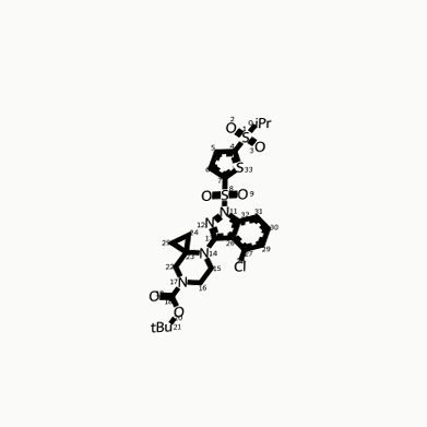 CC(C)S(=O)(=O)c1ccc(S(=O)(=O)n2nc(N3CCN(C(=O)OC(C)(C)C)CC34CC4)c3c(Cl)cccc32)s1